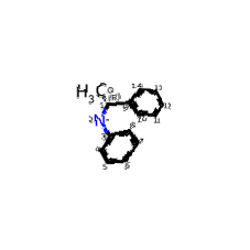 C[C@@H]([N]c1ccccc1)c1ccccc1